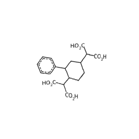 O=C(O)C(C(=O)O)C1CCC(C(C(=O)O)C(=O)O)C(c2ccccc2)C1